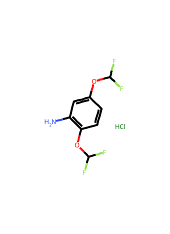 Cl.Nc1cc(OC(F)F)ccc1OC(F)F